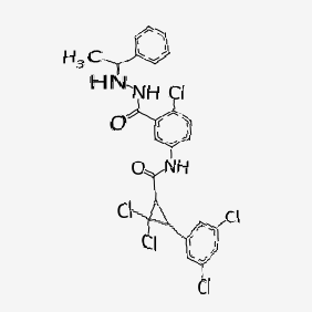 CC(NNC(=O)c1cc(NC(=O)C2C(c3cc(Cl)cc(Cl)c3)C2(Cl)Cl)ccc1Cl)c1ccccc1